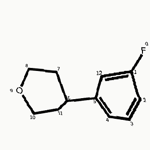 Fc1cccc(C2CCOCC2)c1